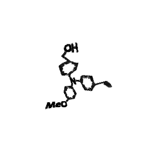 C=Cc1ccc(N(c2ccc(CO)cc2)c2ccc(OC)cc2)cc1